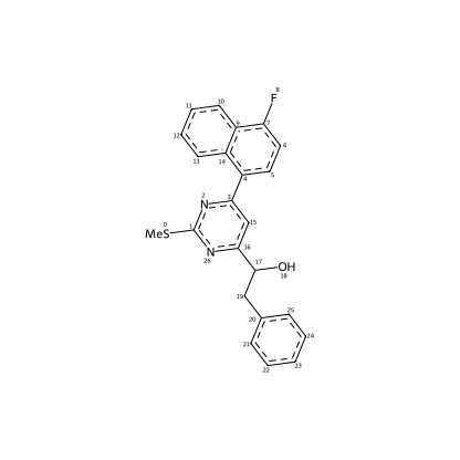 CSc1nc(-c2ccc(F)c3ccccc23)cc(C(O)Cc2ccccc2)n1